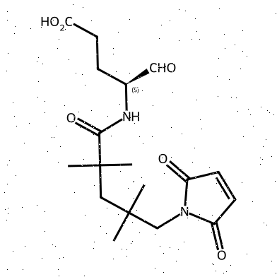 CC(C)(CN1C(=O)C=CC1=O)CC(C)(C)C(=O)N[C@H](C=O)CCC(=O)O